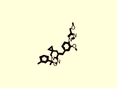 COCc1cn(-c2ccc(/C=C3\CC4(CC4)CN4C3=NOC4(C)c3cccc(C)c3)cc2OC)cn1